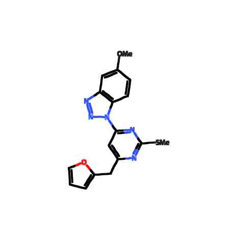 COc1ccc2c(c1)nnn2-c1cc(Cc2ccco2)nc(SC)n1